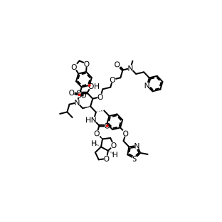 Cc1nc(COc2ccc(C[C@H](NC(=O)O[C@H]3CO[C@H]4OCC[C@H]43)[C@@H](CN(CC(C)C)S(=O)(=O)c3ccc4c(c3)OCO4)C(OCCOCC(=O)N(C)CCc3ccccn3)C(=O)O)cc2)cs1